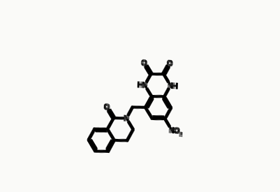 O=C1c2ccccc2CCN1Cc1cc([N+](=O)[O-])cc2[nH]c(=O)c(=O)[nH]c12